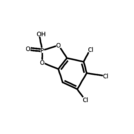 O=P1(O)Oc2cc(Cl)c(Cl)c(Cl)c2O1